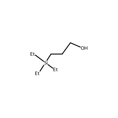 CC[Si](CC)(CC)CCCO